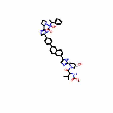 COC(=O)NC(C(=O)N1C[C@@H](O)C[C@H]1c1ncc(-c2ccc3cc(-c4ccc(-c5cnc(C6CCCN6[N+](O)(C(=O)[O-])C(C)c6ccccc6)[nH]5)cc4)ccc3c2)[nH]1)C(C)C